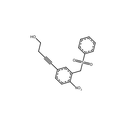 O=[N+]([O-])c1ccc(C#CCCO)cc1CS(=O)(=O)c1ccccc1